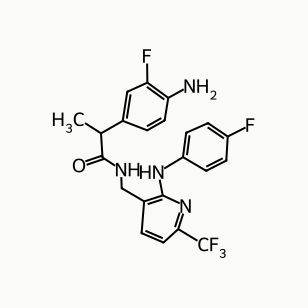 CC(C(=O)NCc1ccc(C(F)(F)F)nc1Nc1ccc(F)cc1)c1ccc(N)c(F)c1